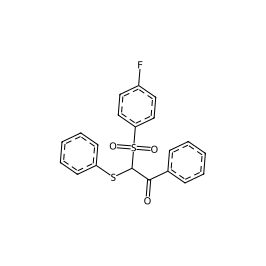 O=C(c1ccccc1)C(Sc1ccccc1)S(=O)(=O)c1ccc(F)cc1